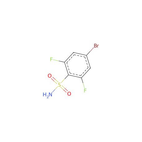 NS(=O)(=O)c1c(F)cc(Br)cc1F